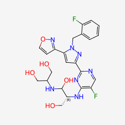 OCC(CO)NC(O)[C@@H](CO)Nc1nc(-c2cc(-c3ccon3)n(Cc3ccccc3F)n2)ncc1F